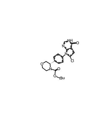 CC(C)(C)OC(=O)N1CCOC[C@@H]1c1ccc(-n2c(Cl)cc3c(=O)[nH]cnc32)cc1